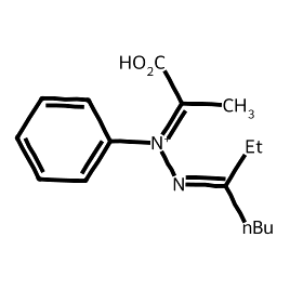 CCCC/C(CC)=N/[N+](=C(\C)C(=O)O)c1ccccc1